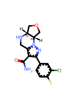 NC(=O)c1c(-c2ccc(F)c(Cl)c2)nn2c1CN[C@@H]1COC[C@@H]12